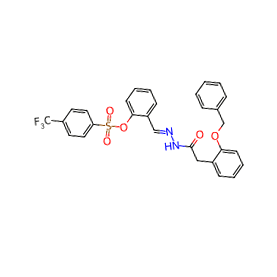 O=C(Cc1ccccc1OCc1ccccc1)N/N=C/c1ccccc1OS(=O)(=O)c1ccc(C(F)(F)F)cc1